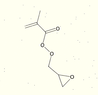 C=C(C)C(=O)OOCC1CO1